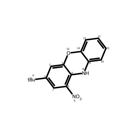 CC(C)(C)c1cc2c(c([N+](=O)[O-])c1)Nc1ccccc1O2